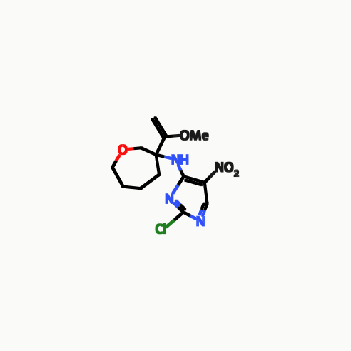 C=C(OC)C1(Nc2nc(Cl)ncc2[N+](=O)[O-])CCCCOC1